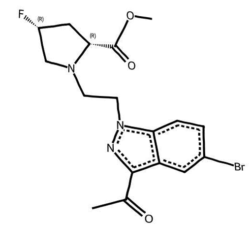 COC(=O)[C@H]1C[C@@H](F)CN1CCn1nc(C(C)=O)c2cc(Br)ccc21